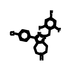 Fc1cc(F)c(Cn2nc(-c3ccc(Cl)cc3)c3c2CCNCC3)c(F)c1